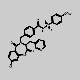 COc1ccc(S(=O)(=O)NC(=O)c2ccc(CN3C(=O)c4ccc(Cl)cc4NC(=O)C3Cc3cccnc3)cc2)cc1